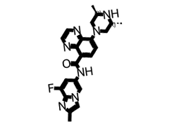 Cc1cn2cc(NC(=O)c3ccc(N4C[C@@H](C)N[C@H](C)C4)c4nccnc34)cc(F)c2n1